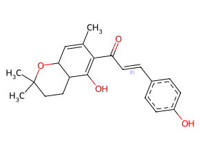 CC1=CC2OC(C)(C)CCC2C(O)=C1C(=O)/C=C/c1ccc(O)cc1